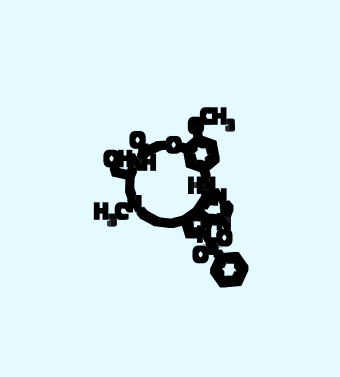 COc1ccc2cc1OCC(=O)NC(CO)CN(C)CCCc1cn(S(=O)(=O)c3ccccc3)c3ncnc(c13)N2